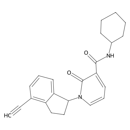 C#Cc1cccc2c1CCC2n1cccc(C(=O)NC2CCCCC2)c1=O